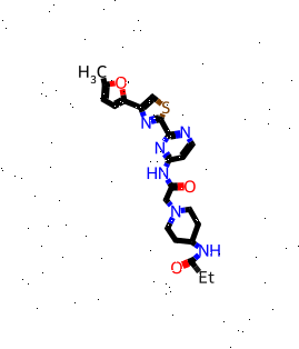 CCC(=O)NC1CCN(CC(=O)Nc2ccnc(-c3nc(-c4ccc(C)o4)cs3)n2)CC1